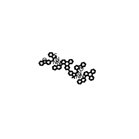 CC1(C)c2ccc(-c3ccc4c(c3)c3ccccc3c3ccc5c(c6ccc7ccccc7c6n5-c5nc(-c6ccc7c(c6)oc6ccccc67)c6c(n5)sc5ccccc56)c34)cc2-c2c(-c3cccc4c3oc3ccccc34)nc(-n3c4ccc5c6ccccc6c6ccccc6c5c4c4ccc5ccccc5c43)nc21